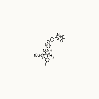 Cc1ccc(F)cc1-n1nc(C(C)(C)C)cc1NC(=O)Nc1cnc(Oc2ccc(-c3cnc(N4CCCC4=O)s3)cc2)nc1